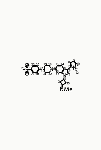 CNC1CC(n2cc(-c3ccnn3C)c3ccc(N4CCN(c5ccc(S(C)(=O)=O)cc5)CC4)nc32)C1